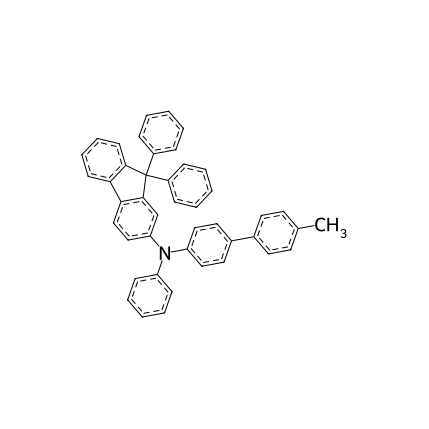 Cc1ccc(-c2ccc(N(c3ccccc3)c3ccc4c(c3)C(c3ccccc3)(c3ccccc3)c3ccccc3-4)cc2)cc1